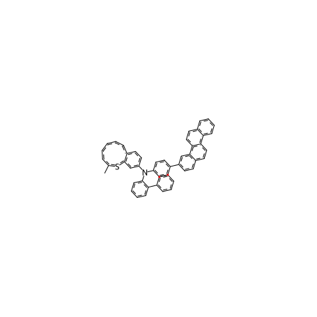 Cc1cccccc2ccc(N(c3ccc(-c4ccc5ccc6c7ccccc7ccc6c5c4)cc3)c3ccccc3-c3ccccc3)cc2s1